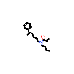 C=CC(=O)N(CCCC)CCCCC(C)c1ccccc1